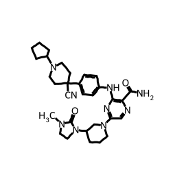 CN1CCN(C2CCCN(c3cnc(C(N)=O)c(Nc4ccc(C5(C#N)CCN(C6CCCC6)CC5)cc4)n3)C2)C1=O